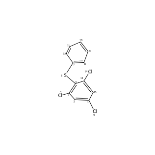 Clc1cc(Cl)c(Sc2ccccc2)c(Cl)c1